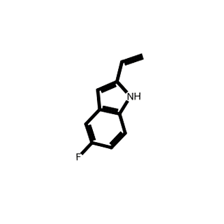 C=Cc1cc2cc(F)ccc2[nH]1